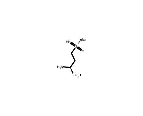 CCCC[S@](=N)(=O)CC[C@H](N)C(=O)O